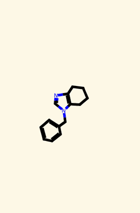 c1ccc(Cn2cnc3c2CCCC3)cc1